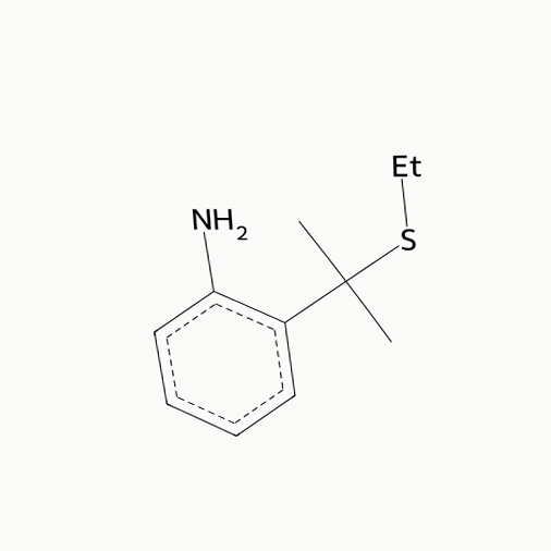 CCSC(C)(C)c1ccccc1N